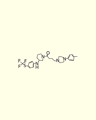 Cc1ccc(N2CCN(CCCC(=O)N3CCC[C@H](Nc4ccc(SC(F)(F)F)cc4)C3)CC2)cc1